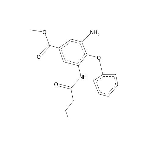 CCCC(=O)Nc1cc(C(=O)OC)cc(N)c1Oc1ccccc1